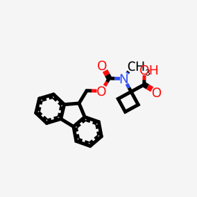 CN(C(=O)OCC1c2ccccc2-c2ccccc21)C1(C(=O)O)CCC1